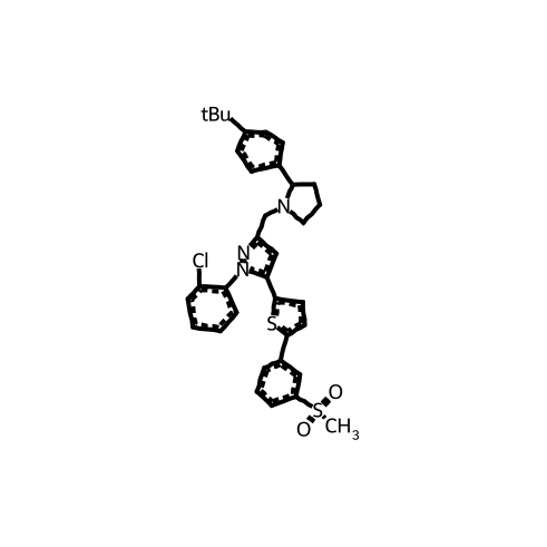 CC(C)(C)c1ccc(C2CCCN2Cc2cc(-c3ccc(-c4cccc(S(C)(=O)=O)c4)s3)n(-c3ccccc3Cl)n2)cc1